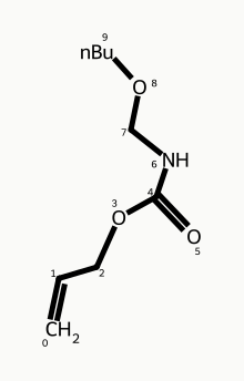 C=CCOC(=O)NCOCCCC